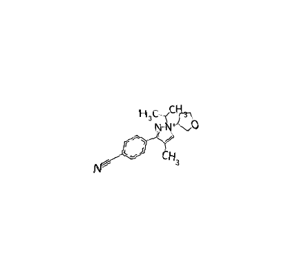 CC1=C[N+](C(C)C)(C2CCOC2)N=C1c1ccc(C#N)cc1